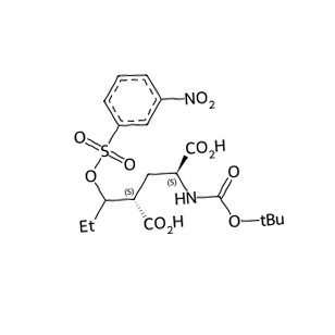 CCC(OS(=O)(=O)c1cccc([N+](=O)[O-])c1)[C@H](C[C@H](NC(=O)OC(C)(C)C)C(=O)O)C(=O)O